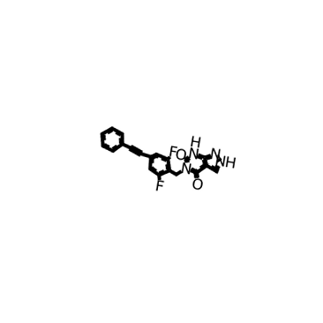 O=c1[nH]c2n[nH]cc2c(=O)n1Cc1c(F)cc(C#Cc2ccccc2)cc1F